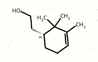 CC1=CCC[C@H](CCO)C1(C)C